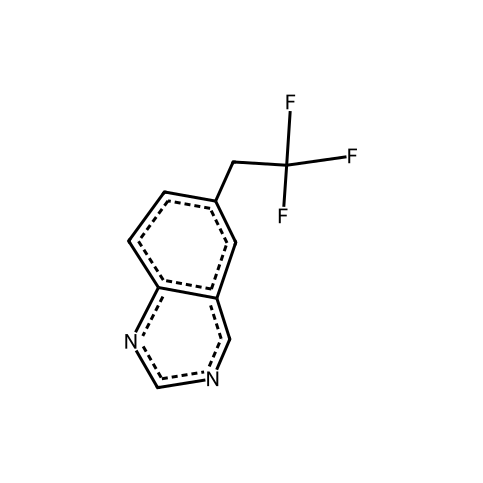 FC(F)(F)Cc1ccc2ncncc2c1